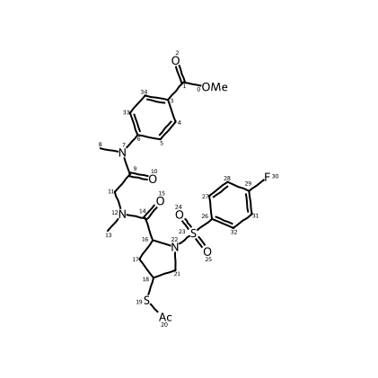 COC(=O)c1ccc(N(C)C(=O)CN(C)C(=O)C2CC(SC(C)=O)CN2S(=O)(=O)c2ccc(F)cc2)cc1